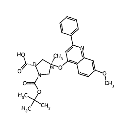 COc1ccc2c(O[C@]3(C)C[C@@H](C(=O)O)N(C(=O)OC(C)(C)C)C3)cc(-c3ccccc3)nc2c1